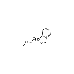 COCO[SH]1[C]=Cc2ccccc21